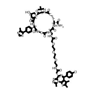 Cc1ncsc1-c1ccc([C@H]2NC(=O)[C@@H]3C[C@@H](O)CN3C(=O)[C@H](C(C)(C)C)NC(=O)CSC[C@H](C(N)=O)NC(=O)[C@@H](CNC(=O)COCCOCCOCCNC(=O)C[C@@H]3N=C(c4ccc(Cl)cc4)c4c(sc(C)c4C)-n4c(C)nnc43)NC(=O)CNC2=O)cc1